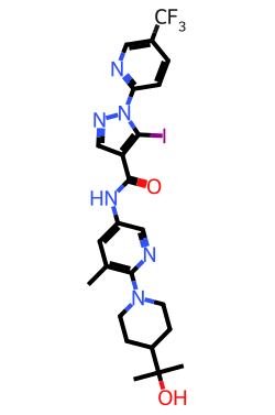 Cc1cc(NC(=O)c2cnn(-c3ccc(C(F)(F)F)cn3)c2I)cnc1N1CCC(C(C)(C)O)CC1